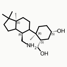 CC1(C)CCC2[C@H](CN)C([C@@]3(C)CC[C@H](O)C[C@@H]3CO)CC[C@@]21C